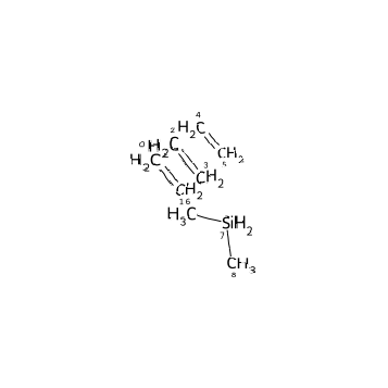 C=C.C=C.C=C.C[SiH2]C